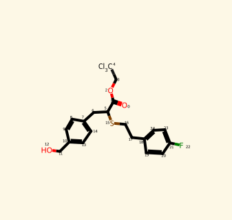 O=C(OCC(Cl)(Cl)Cl)C(Cc1ccc(CO)cc1)SCCc1ccc(F)cc1